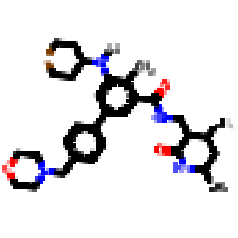 CCN(c1cc(-c2ccc(CN3CCOCC3)cc2)cc(C(=O)NCC2C(=O)NC(C)CC2C)c1C)C1CCSCC1